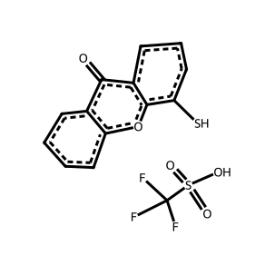 O=S(=O)(O)C(F)(F)F.O=c1c2ccccc2oc2c(S)cccc12